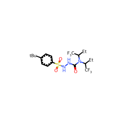 CCC(N(C(=O)NNS(=O)(=O)c1ccc(C(C)(C)C)cc1)C(CC)C(F)(F)F)C(F)(F)F